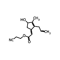 C=CCC1=C(C)C(O)CC1=CC(=O)OCCC#N